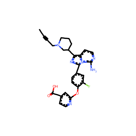 CC#CCN1CCCC(c2nc(-c3ccc(Oc4cc(C(=O)O)ccn4)c(F)c3)n3c(N)nccc23)C1